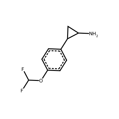 NC1CC1c1ccc(OC(F)F)cc1